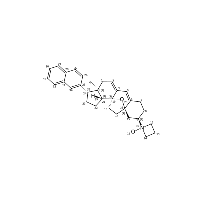 C[C@]12CC=C3C=C4CC[C@@H]([N+]5([O-])CCC5)C[C@]45CC[C@]3(O5)[C@@H]1CC[C@@H]2c1ccc2ccccc2c1